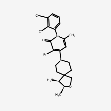 Cc1nc(N2CCC3(CC2)CO[C@@H](C)[C@H]3N)c(C(C)C)c(=O)n1-c1cccc(Cl)c1Cl